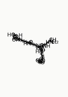 C=C(CCCCCNC(=O)CN(CC(=O)NCCCCCC(=O)NCCCCCCNCCOC1OC[C@@H](O)CC1O)CC(=O)NCCCCCC(=O)ON1C(=O)CCC1=O)NCC